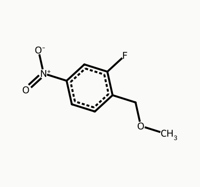 COCc1ccc([N+](=O)[O-])cc1F